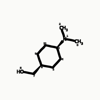 CN(C)[C@H]1CC[C@@H](CO)CC1